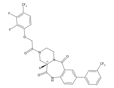 O=C1Nc2ccc(-c3cccc(C(F)(F)F)c3)cc2C(=O)N2CCN(C(=O)COc3ccc(C(F)(F)F)c(F)c3F)C[C@@H]12